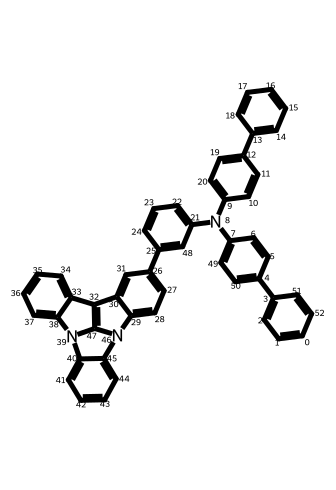 c1ccc(-c2ccc(N(c3ccc(-c4ccccc4)cc3)c3cccc(-c4ccc5c(c4)c4c6ccccc6n6c7ccccc7n5c46)c3)cc2)cc1